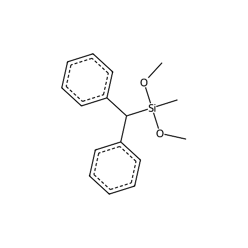 CO[Si](C)(OC)C(c1ccccc1)c1ccccc1